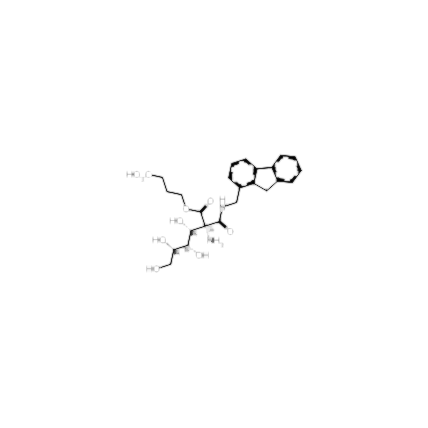 N[C@@](C(=O)NCc1cccc2c1Cc1ccccc1-2)(C(=O)OCCCC(=O)O)[C@@H](O)[C@H](O)[C@H](O)CO